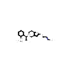 CCC/C=C/C(=O)Oc1cc2c(s1)CCN(C(C(=O)OC)c1ccccc1Cl)C2